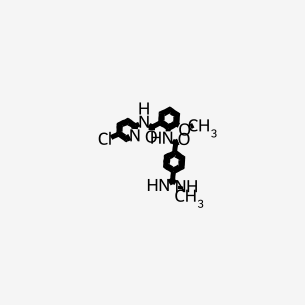 CNC(=N)c1ccc(C(=O)Nc2c(OC)cccc2C(=O)Nc2ccc(Cl)cn2)cc1